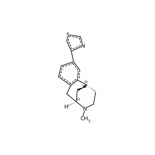 CN1CC[C@@]23CCCCC2[C@@H]1Cc1ccc(-c2cscn2)cc13